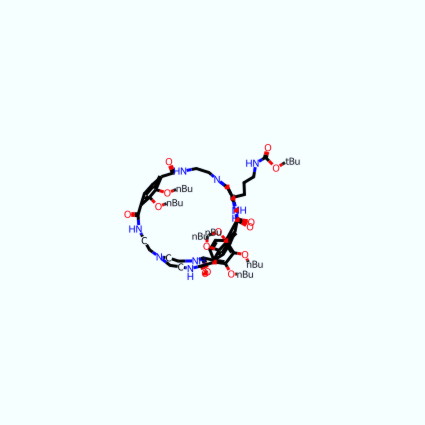 CCCCOc1c2ccc(c1OCCCC)C(=O)NCCN1CCNC(=O)c3ccc(c(OCCCC)c3OCCCC)C(=O)NCCN(CCNC2=O)CCNC(=O)c2ccc(c(OCCCC)c2OCCCC)C(=O)NC(CCCNC(=O)OC(C)(C)C)C1